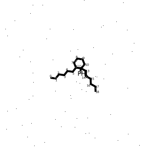 CCCCCCC1CCCCC1(P)CCCCCC